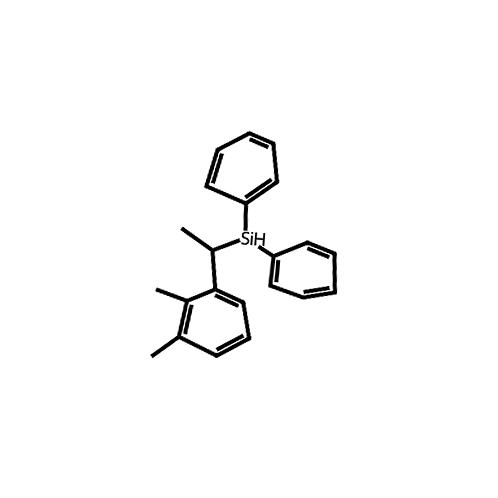 Cc1cccc(C(C)[SiH](c2ccccc2)c2ccccc2)c1C